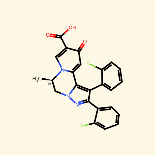 C[C@@H]1Cn2nc(-c3ccccc3F)c(-c3ccccc3F)c2-c2cc(=O)c(C(=O)O)cn21